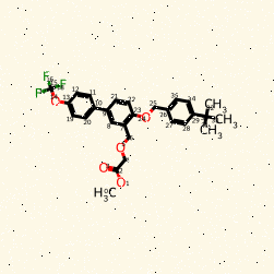 COC(=O)COCc1cc(-c2ccc(OC(F)(F)F)cc2)ccc1OCc1ccc(C(C)(C)C)cc1